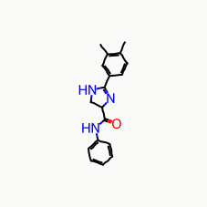 Cc1ccc(C2=NC(C(=O)Nc3ccccc3)CN2)cc1C